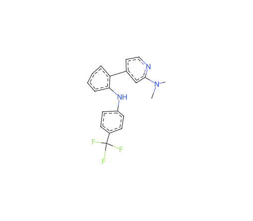 CN(C)c1cc(-c2ccccc2Nc2ccc(C(F)(F)F)cc2)ccn1